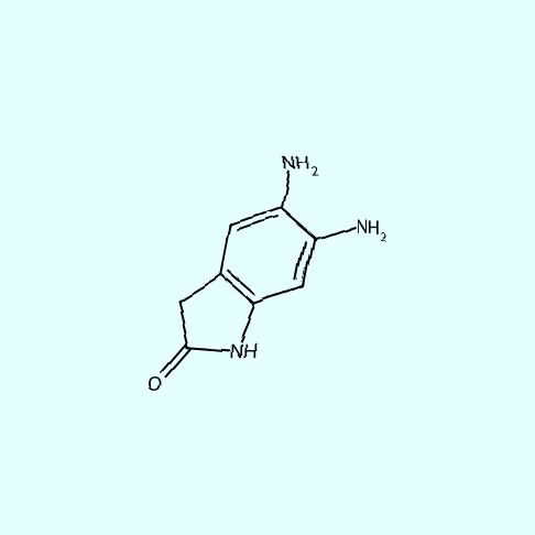 Nc1cc2c(cc1N)NC(=O)C2